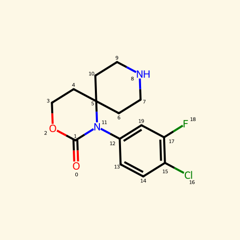 O=C1OCCC2(CCNCC2)N1c1ccc(Cl)c(F)c1